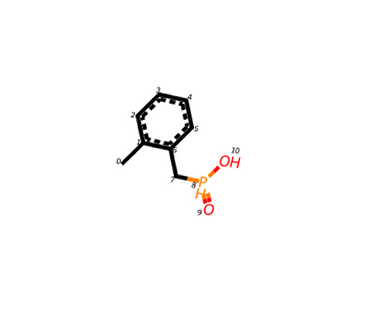 Cc1ccccc1C[PH](=O)O